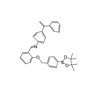 C=C(c1ccccc1)c1ccc(/N=C/c2ccccc2OCc2ccc(B3OC(C)(C)C(C)(C)O3)cc2)cc1